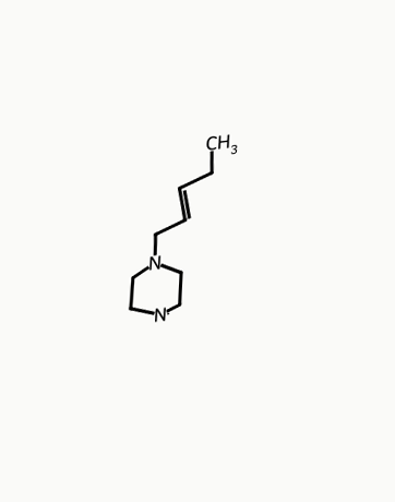 CCC=CCN1CC[N]CC1